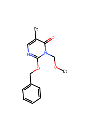 CCOCn1c(OCc2ccccc2)ncc(CC)c1=O